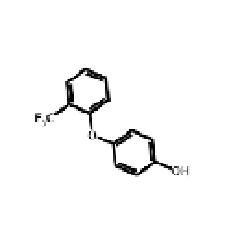 Oc1ccc(Oc2ccccc2C(F)(F)F)cc1